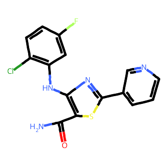 NC(=O)c1sc(-c2cccnc2)nc1Nc1cc(F)ccc1Cl